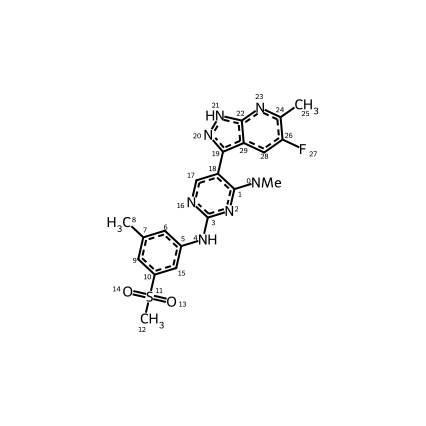 CNc1nc(Nc2cc(C)cc(S(C)(=O)=O)c2)ncc1-c1n[nH]c2nc(C)c(F)cc12